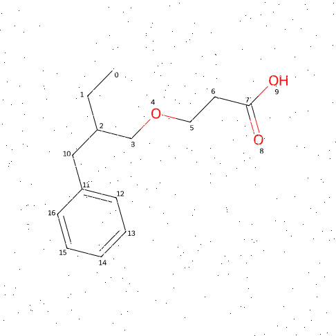 CCC(COCCC(=O)O)Cc1ccccc1